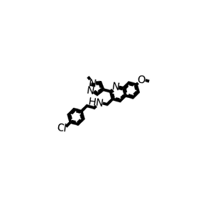 COc1ccc2cc(CNCCc3ccc(Cl)cc3)c(-c3cnn(C)c3)nc2c1